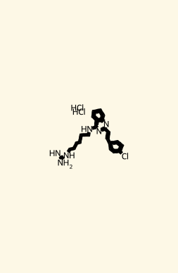 Cl.Cl.N=C(N)NCCCCCCNc1nc(C=Cc2ccc(Cl)cc2)nc2ccccc12